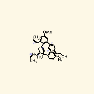 C/C=C\c1nc(OC)cc2c1/C=C/C(O)(/C(C)=C/N=C\C)c1ccc(C)c(c1)C/C=C2\C=C/C=CCO